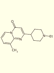 CCN1CCC(c2cc(=O)n3cccc(C)c3n2)CC1